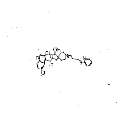 COc1ccc2ncc(Cl)c([C@@H](F)CCC3(C(=O)O)CCN(CCCSc4ccccn4)CC3)c2c1